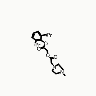 CC(C)c1cccc(C(C)C)c1OC(=O)COC(=O)CN1CCN(C)CC1